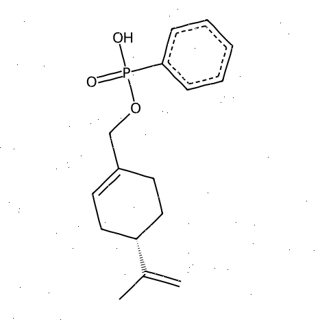 C=C(C)[C@@H]1CC=C(COP(=O)(O)c2ccccc2)CC1